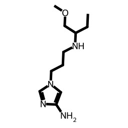 CCC(COC)NCCCn1cnc(N)c1